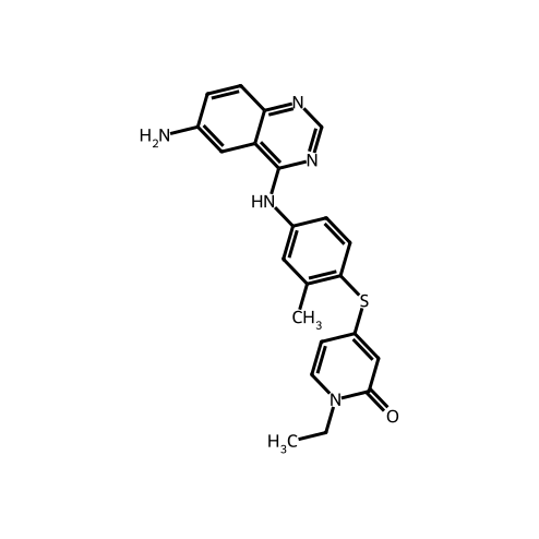 CCn1ccc(Sc2ccc(Nc3ncnc4ccc(N)cc34)cc2C)cc1=O